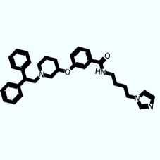 O=C(NCCCCn1ccnc1)c1cccc(OC2CCCN(CC(c3ccccc3)c3ccccc3)C2)c1